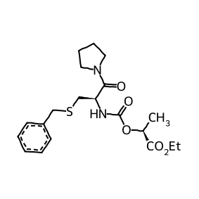 CCOC(=O)[C@H](C)OC(=O)N[C@@H](CSCc1ccccc1)C(=O)N1CCCC1